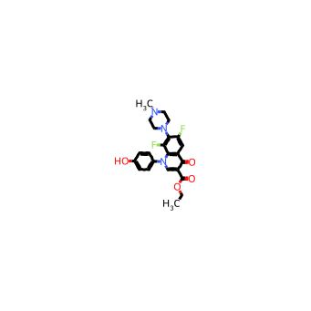 CCOC(=O)c1cn(-c2ccc(O)cc2)c2c(F)c(N3CCN(C)CC3)c(F)cc2c1=O